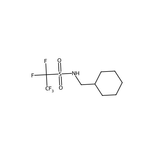 O=S(=O)(NCC1CCCCC1)C(F)(F)C(F)(F)F